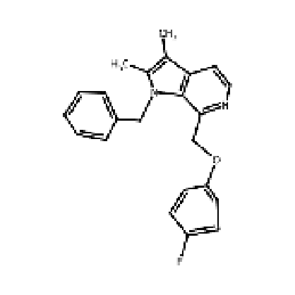 Cc1c(C)n(Cc2ccccc2)c2c(COc3ccc(F)cc3)nccc12